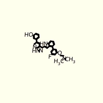 CN(C)CCOc1cc(F)cc(-c2cccc3[nH]c(-c4n[nH]c5ncc(-c6cccc(O)c6)cc45)cc23)c1